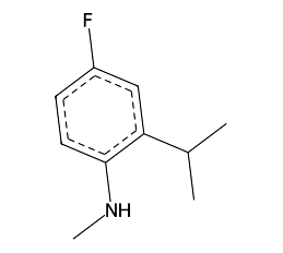 CNc1ccc(F)cc1C(C)C